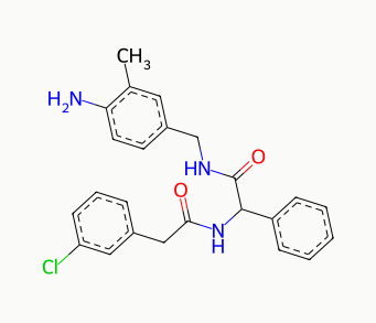 Cc1cc(CNC(=O)C(NC(=O)Cc2cccc(Cl)c2)c2ccccc2)ccc1N